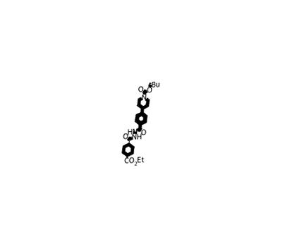 CCOC(=O)[C@H]1CC[C@H](C(=O)NNC(=O)c2ccc(C3CCN(C(=O)OC(C)(C)C)CC3)cc2)CC1